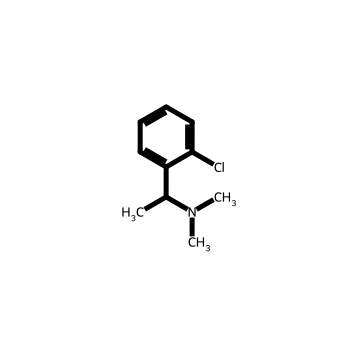 CC(c1ccccc1Cl)N(C)C